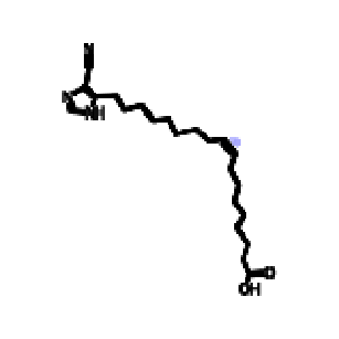 N#Cc1nc[nH]c1CCCCCCCC/C=C\CCCCCCCC(=O)O